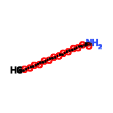 C#CCOCCOCCOCCOCCOCCOCCOCCOCCOCCOCCOCCOCCOCCC(N)=O